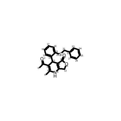 CC(=O)C1=C(C)NC2=C(C(=O)OC2)C1c1ccccc1SCc1ccccc1